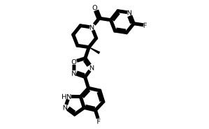 C[C@@]1(c2nc(-c3ccc(F)c4cn[nH]c34)no2)CCCN(C(=O)c2ccc(F)nc2)C1